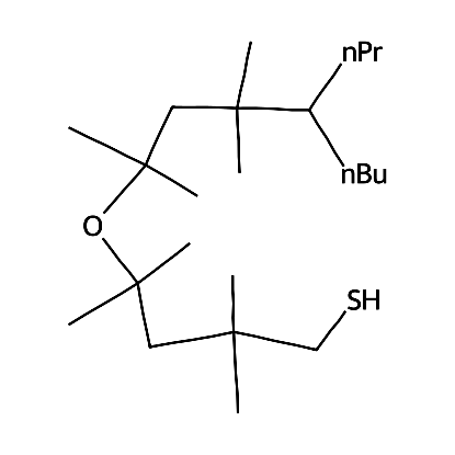 CCCCC(CCC)C(C)(C)CC(C)(C)OC(C)(C)CC(C)(C)CS